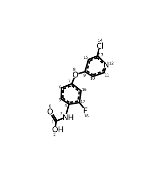 O=C(O)Nc1ccc(Oc2ccnc(Cl)c2)cc1F